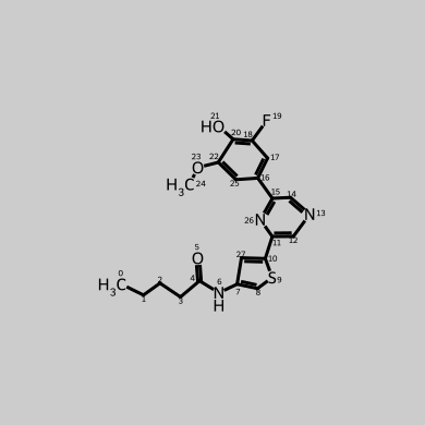 CCCCC(=O)Nc1csc(-c2cncc(-c3cc(F)c(O)c(OC)c3)n2)c1